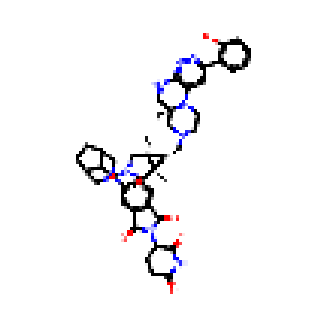 O=C1CCC(N2C(=O)c3ccc(N4CC5CCC(C4)C5CN4C[C@@H]5[C@H](C4)[C@H]5CN4CCN5c6cc(-c7ccccc7O)nnc6NC[C@H]5C4)cc3C2=O)C(=O)N1